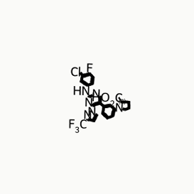 O=C(O)[C@H]1CCCN1c1cccc(-c2cnc(Nc3ccc(F)c(Cl)c3)nc2-n2ccc(C(F)(F)F)n2)c1